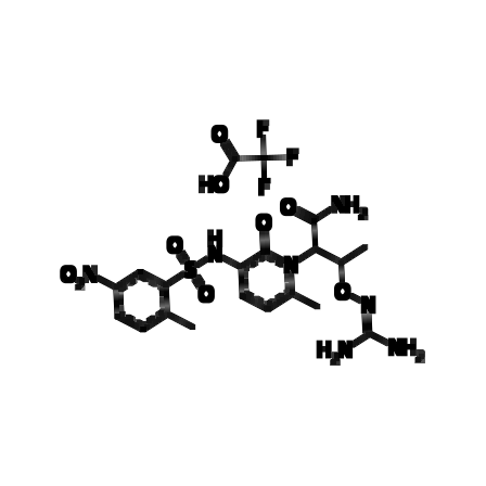 Cc1ccc([N+](=O)[O-])cc1S(=O)(=O)Nc1ccc(C)n(C(C(N)=O)C(C)ON=C(N)N)c1=O.O=C(O)C(F)(F)F